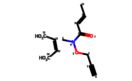 C#CCON(C)C(=O)C=CC.O=C(O)/C=C\C(=O)O